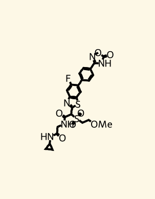 COCCS(=O)(=O)C(C(=O)NCC(=O)NC1CC1)c1nc2cc(F)c(-c3ccc(-c4noc(=O)[nH]4)cc3)cc2s1